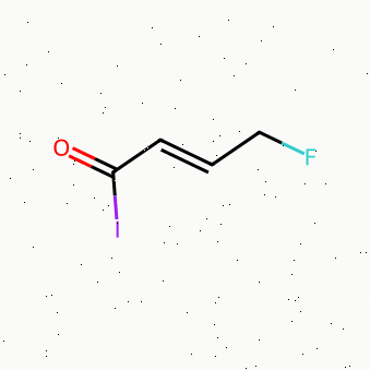 O=C(I)/C=C/CF